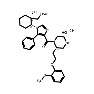 COC[C@]1(O)CCCC[C@H]1n1cnc(C(=O)N2CCNC[C@H]2CCOc2ccccc2OC(F)(F)F)c1-c1ccccc1.Cl.Cl